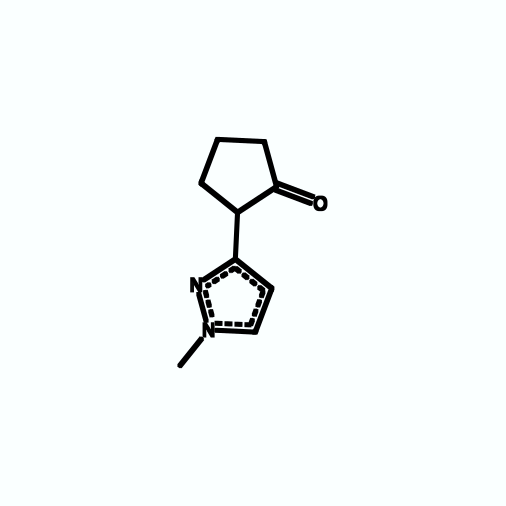 Cn1ccc(C2CCCC2=O)n1